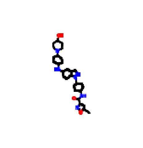 Cc1cc(C(=O)Nc2ccc(-n3ncc4cc(Nc5ccc(N6CCC(O)CC6)cc5)ccc43)cc2)no1